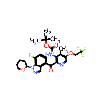 Cc1c(OCC(F)(F)F)cnc(C(=O)c2ccc(F)c3c2cnn3C2CCCCO2)c1NC(=O)OC(C)(C)C